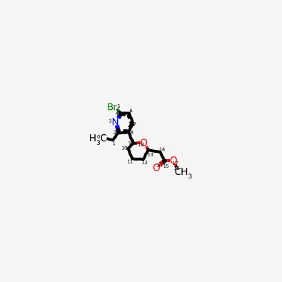 CCc1nc(Br)ccc1C1CCCC(CC(=O)OC)O1